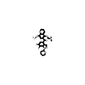 CN(C)/C=N/c1c(C(=O)c2cc(F)c(F)c3c2cnn3C2CCCCO2)cc(OC(F)(F)F)c2ncccc12